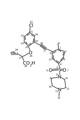 Cc1ccc(S(=O)(=O)N2CCN(C)CC2)cc1C#Cc1cc(Cl)ccc1OC(C(=O)O)C(C)(C)C